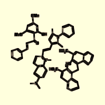 COc1cc(O)c(C(=O)C=Cc2ccccc2)c(OC)c1.Cc1cc(C=Cc2ccc3cc(N(C)C)ccc3[n+]2C)c(C)n1-c1ccccc1.O=C(O)c1cc2ccccc2c(Cc2c(O)c(C(=O)O)cc3ccccc23)c1[O-]